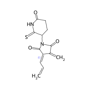 C=C/C=C1\C(=C)C(=O)N(C2CCC(=O)NC2=S)C1=O